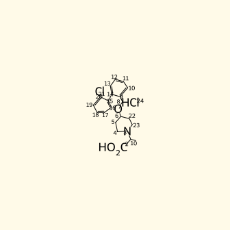 CC(C(=O)O)N1CCC(OCc2ccccc2-c2ccccc2Cl)CC1.Cl